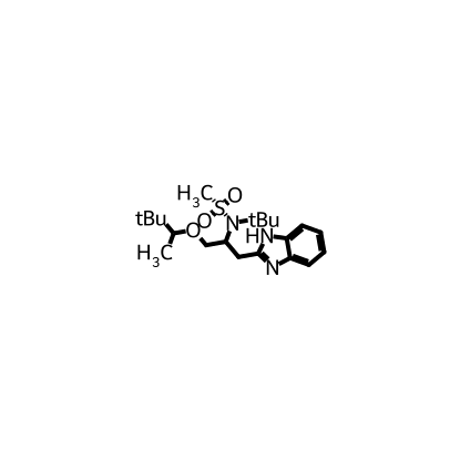 CC(OCC(Cc1nc2ccccc2[nH]1)N(C(C)(C)C)S(C)(=O)=O)C(C)(C)C